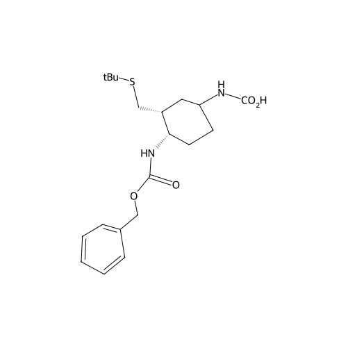 CC(C)(C)SC[C@@H]1CC(NC(=O)O)CC[C@@H]1NC(=O)OCc1ccccc1